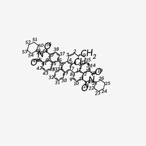 C=C/C=C\c1c(C)c(-c2ccc3c4c(cccc24)C(=O)N(C2CCCCC2)C3=O)c2ccccc2c1-c1ccc2c3c(cccc13)C(=O)N(C1CCCCC1)C2=O